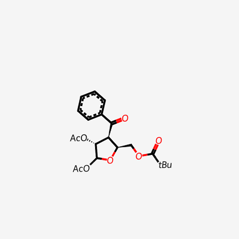 CC(=O)OC1O[C@H](COC(=O)C(C)(C)C)[C@H](C(=O)c2ccccc2)[C@H]1OC(C)=O